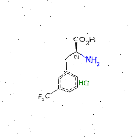 Cl.N[C@@H](Cc1cccc(C(F)(F)F)c1)C(=O)O